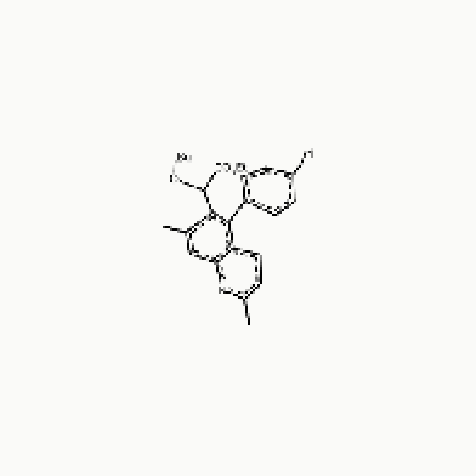 CCOC(=O)C(OC(C)(C)C)c1c(C)cc2nc(C)ccc2c1-c1ccc(Cl)cc1